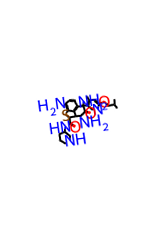 Cc1cc(OCC(C)C)ncc1C1(N)C(=O)C(N)C2c3c1ccc(N)c3SC2C(=O)NC1CCCNC1